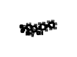 Nc1c([N+](=O)[O-])ccc2c1C[C@H](O)[C@@H](N1CCN(c3ccccc3)CC1)C2